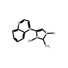 CCN1C=C([n+]2ccnc3ccccc32)N(CC)C1C